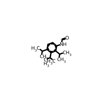 CC(C)c1ccc(N[C]=O)c(C(C)C)c1C(C)C